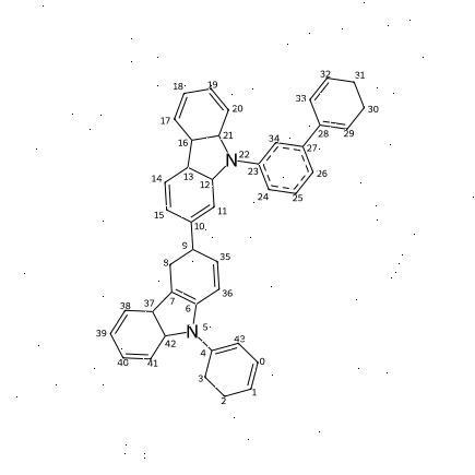 C1=CCCC(N2C3=C(CC(C4=CC5C(C=C4)C4C=CC=CC4N5c4cccc(C5=CCCC=C5)c4)C=C3)C3C=CC=CC32)=C1